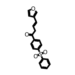 O=C(C/C=C/c1ccoc1)c1ccc(S(=O)(=O)c2ccccc2)cc1